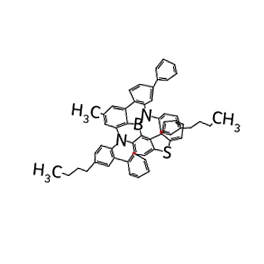 CCCCc1ccc(N2B3c4c(cc(C)cc4N(c4ccc(CCCC)cc4-c4ccccc4)c4ccc5sc6ccccc6c5c43)-c3ccc(-c4ccccc4)cc32)cc1